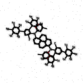 [2H]c1c([2H])c([2H])c(-c2cc(F)c(N(c3cc(C)ccc3C)c3ccc4ccc5c(N(c6cc(C)ccc6C)c6c(F)cc(-c7c([2H])c([2H])c([2H])c([2H])c7[2H])cc6-c6c([2H])c([2H])c([2H])c([2H])c6[2H])ccc6ccc3c4c65)c(-c3c([2H])c([2H])c([2H])c([2H])c3[2H])c2)c([2H])c1[2H]